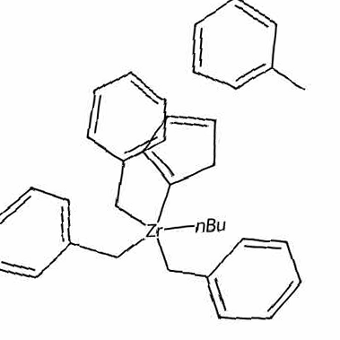 CCC[CH2][Zr]([CH2]c1ccccc1)([CH2]c1ccccc1)([CH2]c1ccccc1)[C]1=CC=CC1.Cc1ccccc1